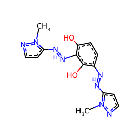 Cn1nccc1/N=N/c1ccc(O)c(/N=N/c2ccnn2C)c1O